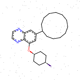 I[C@H]1CC[C@@H](Oc2cc(C3CCCCCCCCCCC3)cc3nccnc23)CC1